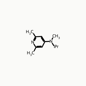 Cc1cc(N(C)C(C)C)cc(C)n1